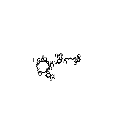 C=CCC1C(=O)C(C)(C)C(OC(=O)OCc2ccc(OC(=O)CCCCCN3C(=O)C=CC3=O)c([N+](=O)[O-])c2)CC(=O)OC(c2ccc3sc(C)nc3c2)CC2OC2(C)CCCC(C)C1O